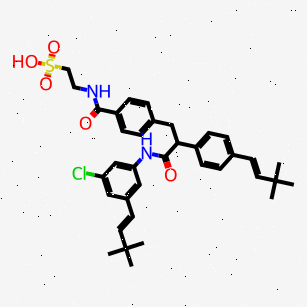 CC(C)(C)/C=C/c1ccc(C(Cc2ccc(C(=O)NCCS(=O)(=O)O)cc2)C(=O)Nc2cc(Cl)cc(/C=C/C(C)(C)C)c2)cc1